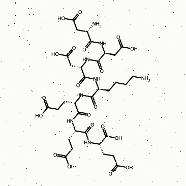 NCCCC[C@H](NC(=O)[C@H](CC(=O)O)NC(=O)[C@H](CC(=O)O)NC(=O)[C@@H](N)CC(=O)O)C(=O)N[C@@H](CCC(=O)O)C(=O)N[C@@H](CCC(=O)O)C(=O)N[C@@H](CCC(=O)O)C(=O)O